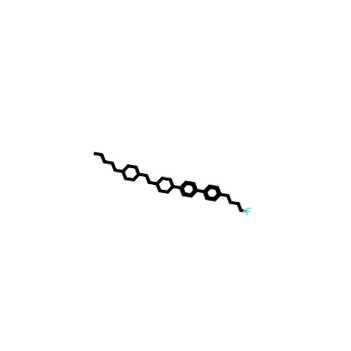 CCCCCC1CCC(CCC2CCC(c3ccc(-c4ccc(CCCCF)cc4)cc3)CC2)CC1